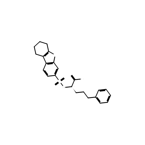 O=C(O)[C@@H](CCCc1ccccc1)NS(=O)(=O)c1ccc2c3c(oc2c1)CCCC3